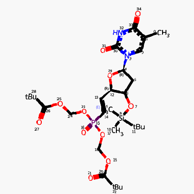 Cc1cn([C@H]2CC(O[Si](C)(C)C(C)(C)C)[C@@H](/C=C/P(=O)(OCOC(=O)C(C)(C)C)OCOC(=O)C(C)(C)C)O2)c(=O)[nH]c1=O